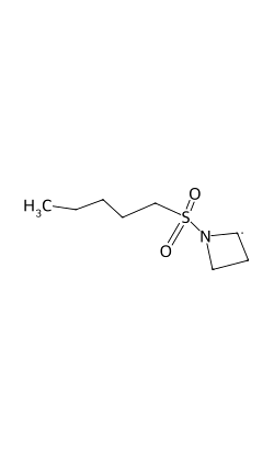 CCCCCS(=O)(=O)N1[CH]CC1